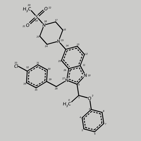 CC(Oc1ccccc1)c1nc2ccc(N3CCN(S(C)(=O)=O)CC3)cc2n1Cc1ccc(Cl)cc1